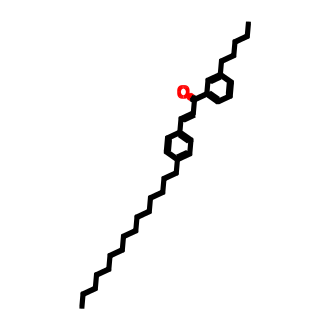 CCCCCCCCCCCCCCCc1ccc(C=CC(=O)c2cccc(CCCCC)c2)cc1